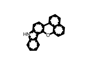 c1cc2c3c(cccc3c1)-c1ccc3[nH]c4ccccc4c3c1O2